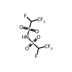 O=S(=O)(NS(=O)(=O)C(F)C(F)(F)F)C(F)C(F)(F)F